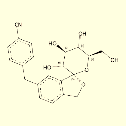 N#Cc1ccc(Cc2ccc3c(c2)[C@]2(OC3)O[C@H](CO)[C@@H](O)[C@H](O)[C@H]2O)cc1